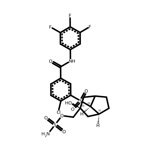 NS(=O)(=O)OC[C@]1(O)CC2CC[C@@H](C1)[C@H]2S(=O)(=O)c1cc(C(=O)Nc2cc(F)c(F)c(F)c2)ccc1Cl